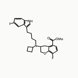 COC(=O)c1ccc(F)c2c1CC(N(CCCCc1c[nH]c3ccc(F)cc13)C1CCC1)CO2